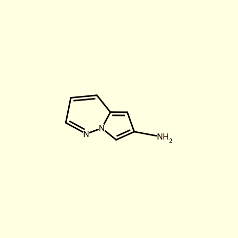 Nc1cc2cccnn2c1